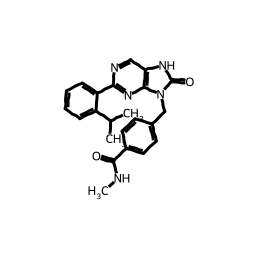 CNC(=O)c1ccc(Cn2c(=O)[nH]c3cnc(-c4ccccc4C(C)C)nc32)cc1